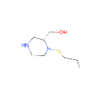 CCCSN1CCNC[C@@H]1CO